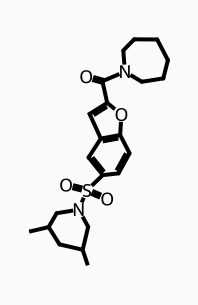 CC1CC(C)CN(S(=O)(=O)c2ccc3oc(C(=O)N4CCCCCC4)cc3c2)C1